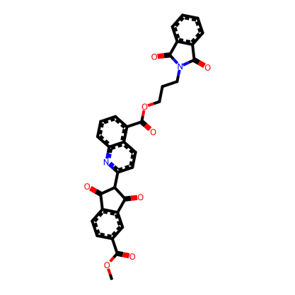 COC(=O)c1ccc2c(c1)C(=O)C(c1ccc3c(C(=O)OCCCN4C(=O)c5ccccc5C4=O)cccc3n1)C2=O